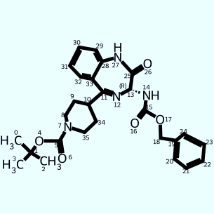 CC(C)(C)OC(=O)N1CCC(C2=N[C@@H](NC(=O)OCc3ccccc3)C(=O)Nc3ccccc32)CC1